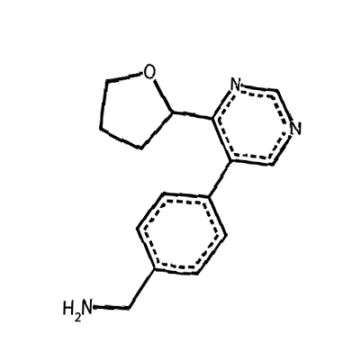 NCc1ccc(-c2cncnc2C2CCCO2)cc1